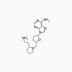 NCCC1CCCN1CC1CCC(n2cnc3c(N)ncnc32)O1